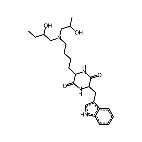 CCC(O)CN(CCCCC1NC(=O)C(Cc2c[nH]c3ccccc23)NC1=O)CC(C)O